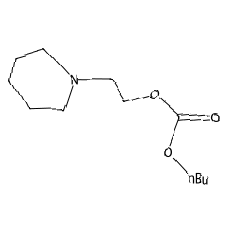 CCCCOC(=O)OCCN1CCCCC1